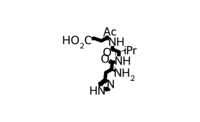 CC(=O)[C@H](CCC(=O)O)NC(=O)[C@@H](NC(=O)[C@@H](N)Cc1c[nH]cn1)C(C)C